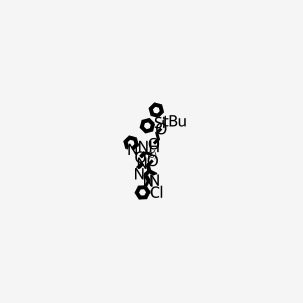 CC(C)(C)[Si](OCCOC[C@H](Oc1ncnc2c1cnn2-c1ccccc1Cl)C(=O)Nc1ccccn1)(c1ccccc1)c1ccccc1